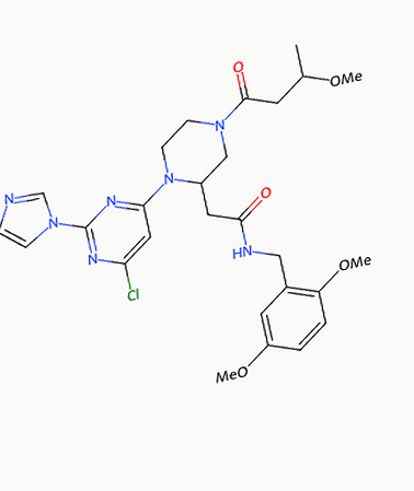 COc1ccc(OC)c(CNC(=O)CC2CN(C(=O)CC(C)OC)CCN2c2cc(Cl)nc(-n3ccnc3)n2)c1